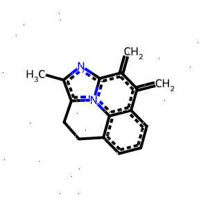 C=c1c(=C)c2nc(C)c3n2c2c(cccc12)CC3